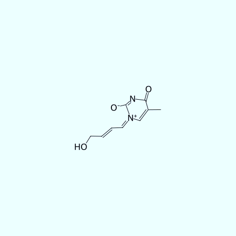 CC1=C/[N+](=C/C=C/CO)C([O-])=NC1=O